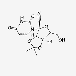 CC1(C)O[C@@H]2C(CO)O[C@@](C#N)(n3ccc(=O)[nH]c3=O)[C@@H]2O1